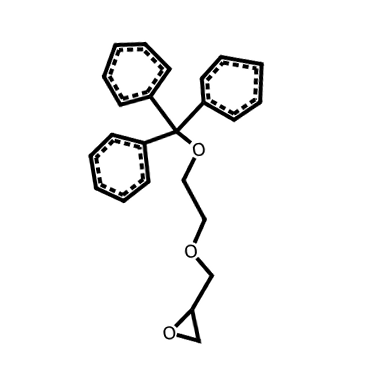 c1ccc(C(OCCOCC2CO2)(c2ccccc2)c2ccccc2)cc1